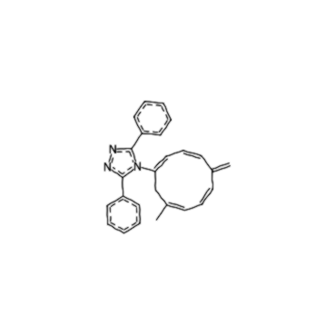 C=C1/C=C\C=C(\C)C/C(n2c(-c3ccccc3)nnc2-c2ccccc2)=C\C=C/1